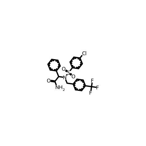 NC(=O)C(c1ccccc1)N(Cc1ccc(C(F)(F)F)cc1)S(=O)(=O)c1ccc(Cl)cc1